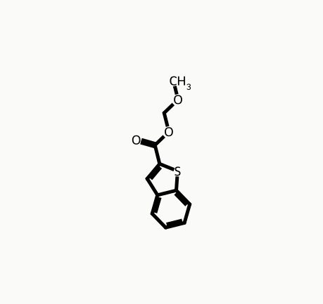 COCOC(=O)c1cc2ccccc2s1